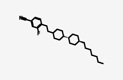 CCCCCCC[C@H]1CC[C@H](C2CCC(CCc3ccc(C#N)cc3F)CC2)CC1